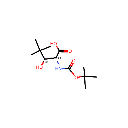 CC(C)(C)OC(=O)N[C@@H](C(=O)O)[C@@H](O)C(C)(C)C